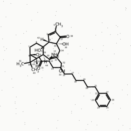 CC1=C[C@H]2[C@@]3(O)CC[C@]4(OC(=O)[C@@H](N)CCCCCCCCc5ccccc5)[C@H]([C@@H]3C=C(CO)C[C@]2(O)C1=O)C4(C)C